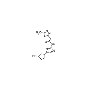 Cc1cc(CC(=O)Nc2ncn(C3CCC(O)C3)n2)on1